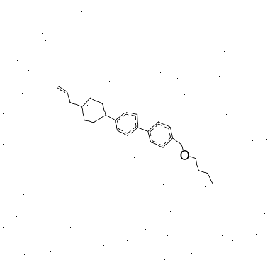 C=CCC1CCC(c2ccc(-c3ccc(COCCCC)cc3)cc2)CC1